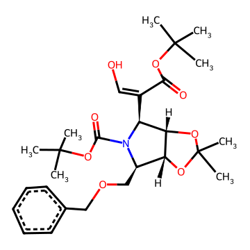 CC(C)(C)OC(=O)/C(=C\O)[C@H]1[C@@H]2OC(C)(C)O[C@@H]2[C@@H](COCc2ccccc2)N1C(=O)OC(C)(C)C